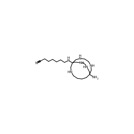 N#CCCCCCCNC12CNCCCCC(N)(CNCCNC1)CNCCNC2